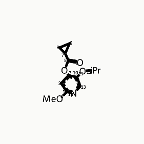 COc1cc(OC(=O)C2CC2)c(OC(C)C)cn1